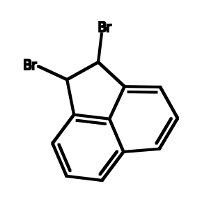 BrC1c2cccc3cccc(c23)C1Br